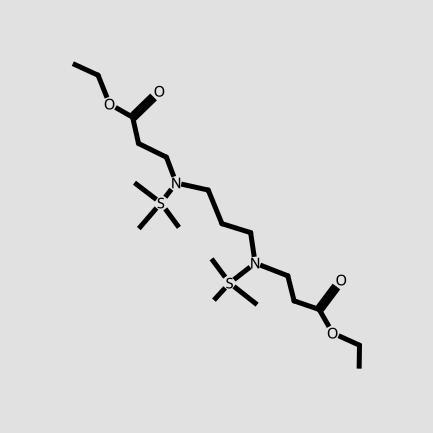 CCOC(=O)CCN(CCCN(CCC(=O)OCC)S(C)(C)C)S(C)(C)C